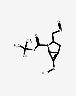 CSC1=C2CC(CN=O)N(C(=O)OC(C)(C)C)C21